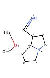 CC(C)(C)OC=O.N=CC1CCN2CCCC12